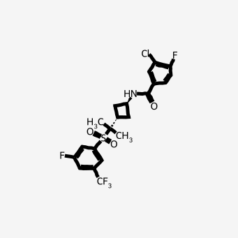 CC(C)([C@H]1C[C@H](NC(=O)c2ccc(F)c(Cl)c2)C1)S(=O)(=O)c1cc(F)cc(C(F)(F)F)c1